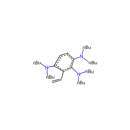 C=Cc1c(N(CCCC)CCCC)c[c]c(N(CCCC)CCCC)c1N(CCCC)CCCC